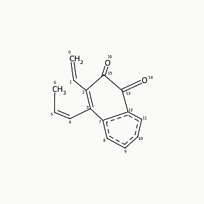 C=CC1=C(/C=C\C)c2ccccc2C(=O)C1=O